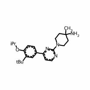 CC(C)Oc1ccc(-c2ccnc(N3CCC(C)(N)CC3)n2)cc1C(C)(C)C